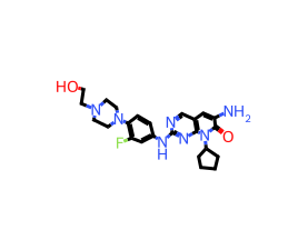 Nc1cc2cnc(Nc3ccc(N4CCN(CCO)CC4)c(F)c3)nc2n(C2CCCC2)c1=O